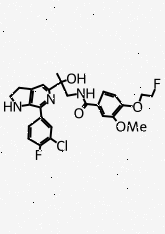 COc1cc(C(=O)NCC(C)(O)c2cc3c(c(-c4ccc(F)c(Cl)c4)n2)NCC3)ccc1OCCF